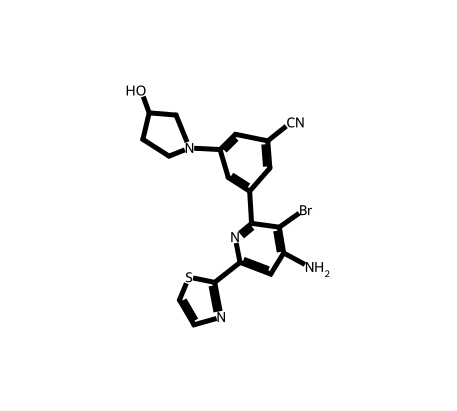 N#Cc1cc(-c2nc(-c3nccs3)cc(N)c2Br)cc(N2CCC(O)C2)c1